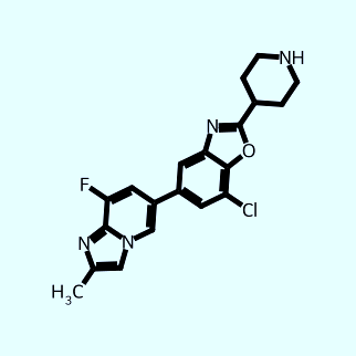 Cc1cn2cc(-c3cc(Cl)c4oc(C5CCNCC5)nc4c3)cc(F)c2n1